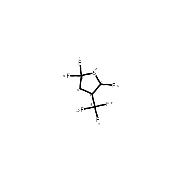 FC1SC(F)(F)CC1C(F)(F)F